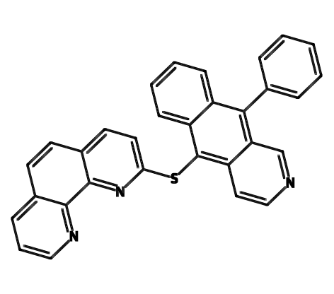 c1ccc(-c2c3ccccc3c(Sc3ccc4ccc5cccnc5c4n3)c3ccncc23)cc1